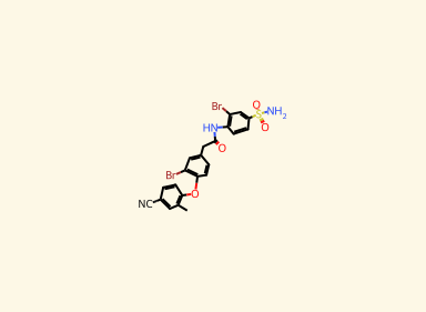 Cc1cc(C#N)ccc1Oc1ccc(CC(=O)Nc2ccc(S(N)(=O)=O)cc2Br)cc1Br